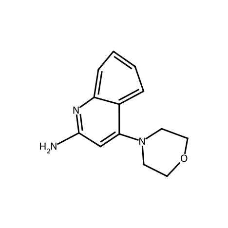 Nc1cc(N2CCOCC2)c2ccccc2n1